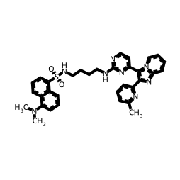 Cc1cccc(-c2nc3ccccn3c2-c2ccnc(NCCCCNS(=O)(=O)c3cccc4c(N(C)C)cccc34)n2)n1